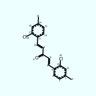 Cc1ccc(C=CC(=O)C=Cc2ccc(C)cc2Cl)c(Cl)c1